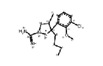 CCCCC1(c2cccc(Cl)c2OC)NN(C(=N)N)CC1C